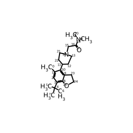 Cc1cc(C(C)(C)C)c2c(c1C1CCN(CC(=O)N(C)C)CC1)CCO2